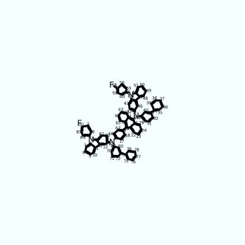 Fc1ccc(-n2c3ccccc3c3cc(N(c4ccc(-c5c6ccccc6c(N(c6cccc(-c7ccccc7)c6)c6ccc7c(c6)c6ccccc6n7-c6ccc(F)cc6)c6ccccc56)cc4)c4cccc(-c5ccccc5)c4)ccc32)cc1